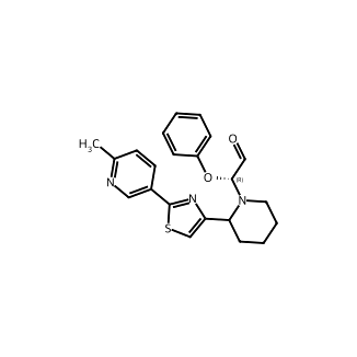 Cc1ccc(-c2nc(C3CCCCN3[C@@H](C=O)Oc3ccccc3)cs2)cn1